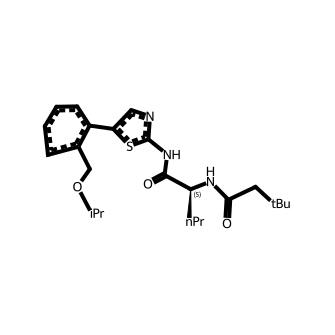 CCC[C@H](NC(=O)CC(C)(C)C)C(=O)Nc1ncc(-c2ccccc2COC(C)C)s1